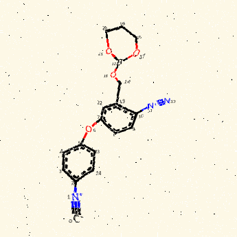 [C-]#[N+]c1ccc(Oc2ccc([N+]#N)c(COB3OCCCO3)c2)cc1